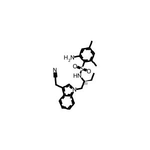 CC[C@@H](Cn1cc(CC#N)c2ccccc21)NS(=O)(=O)c1c(C)cc(C)cc1N